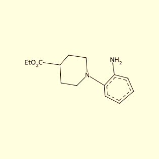 CCOC(=O)C1CCN(c2ccccc2N)CC1